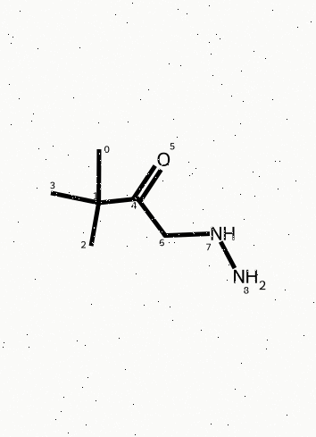 CC(C)(C)C(=O)CNN